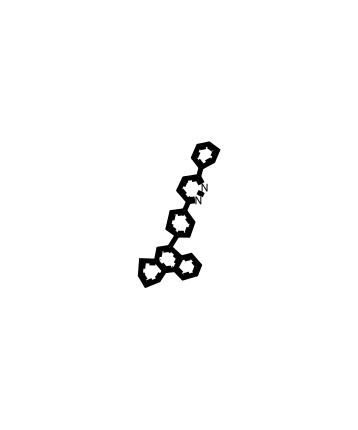 c1ccc(-c2ccc(-c3ccc(-c4cc5ccccc5c5ccccc45)cc3)nn2)cc1